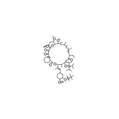 CCC1/C=C(\C)CC(C)CC(OC)C2OC(O)(C(=O)C(=O)N3CCCCC3C(=O)OC(C(C)=CC3CCC(O)C(O[Si](C)(C)C(C)(C)C)C3)C(C)C(O[Si](C(C)C)(C(C)C)C(C)C)CC1=O)C(C)CC2OC